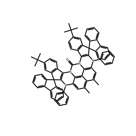 Cc1cc2c3c4c5c(cc(C)c14)B(c1ccccc1)C1=C(c4ccc(C(C)(C)C)cc4C14c1ccccc1-c1ccccc14)N5C(=O)N3C1=C(B2c2ccccc2)C2(c3cc(C(C)(C)C)ccc31)c1ccccc1-c1ccccc12